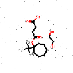 CC(C)(C)C1(OC(=O)CCC(=O)O)CCCCCC1.OCCO